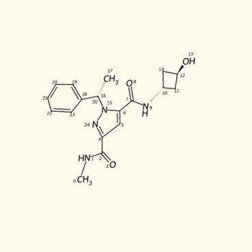 CNC(=O)c1cc(C(=O)N[C@H]2C[C@H](O)C2)n([C@@H](C)c2ccccc2)n1